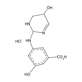 Cl.O=C(O)c1cc(O)cc(NC2N=CC(O)CN2)c1